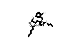 CCCCCC(=O)NC(Cc1cnc(SCCC)n1Cc1ccccc1Cl)C(=O)O